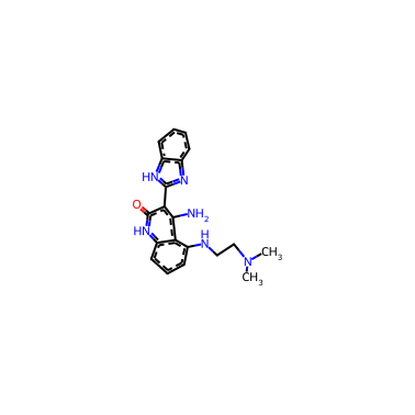 CN(C)CCNc1cccc2[nH]c(=O)c(-c3nc4ccccc4[nH]3)c(N)c12